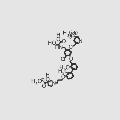 COC(=O)C1(O)CCN(CCCOc2cccc(-c3cccc(COc4cc(OCc5cncc(S(C)(=O)=O)c5)c(CNC(CO)C(=O)O)cc4Cl)c3C)c2C)C1